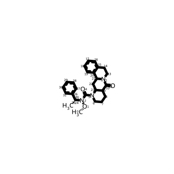 CON(C(=O)N1CCCC2C(=O)N3CCc4ccccc4C3CC21)[C@H](C)c1ccccc1